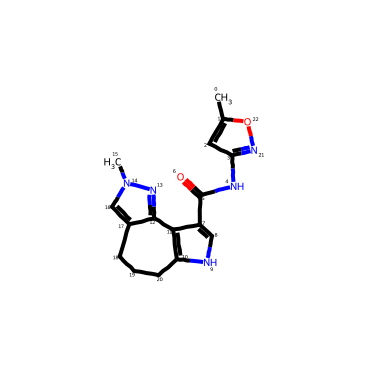 Cc1cc(NC(=O)c2c[nH]c3c2-c2nn(C)cc2CCC3)no1